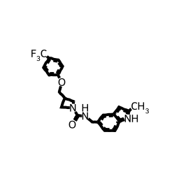 Cc1cc2cc(CNC(=O)N3CC(COc4ccc(C(F)(F)F)cc4)C3)ccc2[nH]1